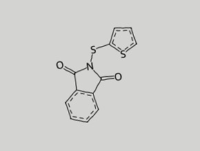 O=C1c2ccccc2C(=O)N1Sc1cccs1